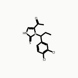 CCC(c1ccc(Cl)c(Cl)c1)n1c(C(C)=O)c[nH]c1=S